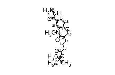 CN1C(=O)C(CCCC(=O)OC(C)(C)C)COc2ccc(C(=O)NN)cc21